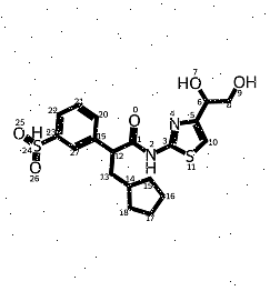 O=C(Nc1nc(C(O)CO)cs1)C(CC1CCCC1)c1cccc([SH](=O)=O)c1